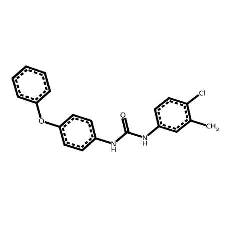 Cc1cc(NC(=O)Nc2ccc(Oc3ccccc3)cc2)ccc1Cl